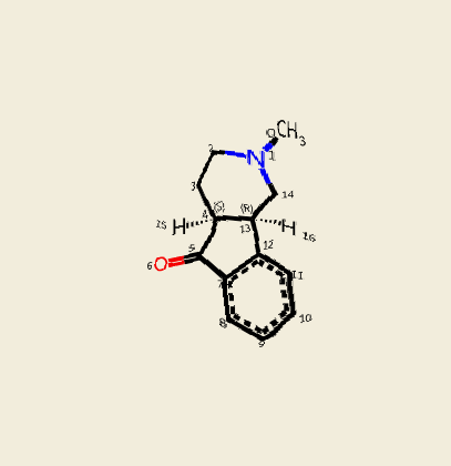 CN1CC[C@@H]2C(=O)c3ccccc3[C@@H]2C1